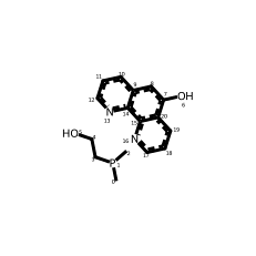 CP(C)CCO.Oc1cc2cccnc2c2ncccc12